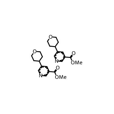 COC(=O)c1cncc(C2CCOCC2)c1.COC(=O)c1cncc(C2CCOCC2)c1